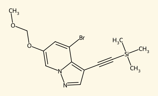 COCOc1cc(Br)c2c(C#C[Si](C)(C)C)cnn2c1